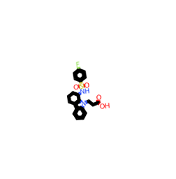 O=C(O)CCn1c2c(c3ccccc31)CCCC2NS(=O)(=O)c1ccc(F)cc1